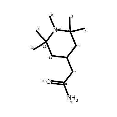 CN1C(C)(C)CC(CC(N)=O)CC1(C)C